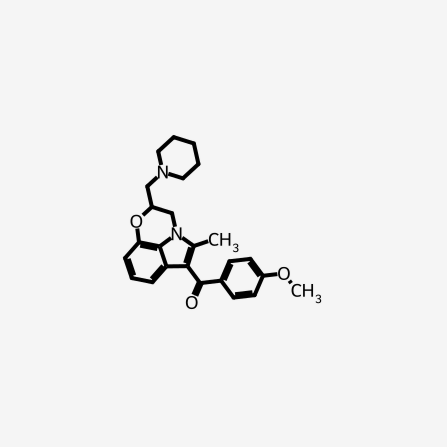 COc1ccc(C(=O)c2c(C)n3c4c(cccc24)OC(CN2CCCCC2)C3)cc1